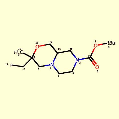 CC(C)(C)OC(=O)N1CCN2CC(C)(CI)OCC2C1